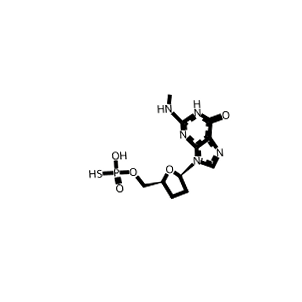 CNc1nc2c(ncn2[C@H]2CC[C@@H](COP(=O)(O)S)O2)c(=O)[nH]1